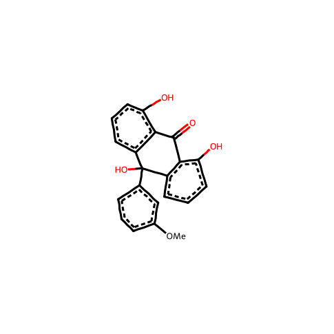 COc1cccc(C2(O)c3cccc(O)c3C(=O)c3c(O)cccc32)c1